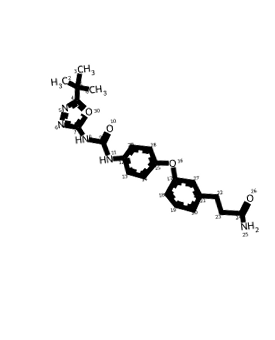 CC(C)(C)c1nnc(NC(=O)Nc2ccc(Oc3cccc(CCC(N)=O)c3)cc2)o1